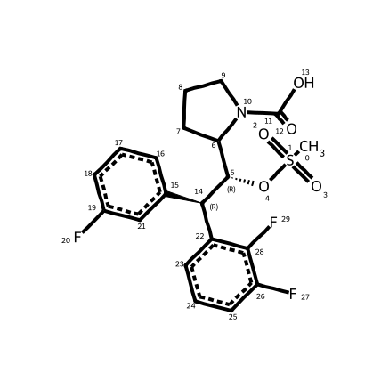 CS(=O)(=O)O[C@@H](C1CCCN1C(=O)O)[C@H](c1cccc(F)c1)c1cccc(F)c1F